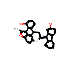 C/C(CC1c2cccc(O)c2-c2c(C)oc3cccc1c23)=C1\c2ccccc2-c2ccc(O)cc21